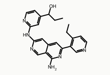 CCc1ccncc1-c1cc2cc(Nc3cc(C(O)CC)ccn3)ncc2c(N)n1